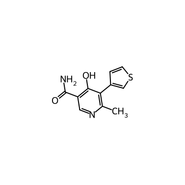 Cc1ncc(C(N)=O)c(O)c1-c1ccsc1